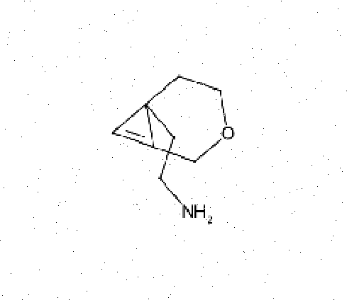 NCCC12C=C1COCC2